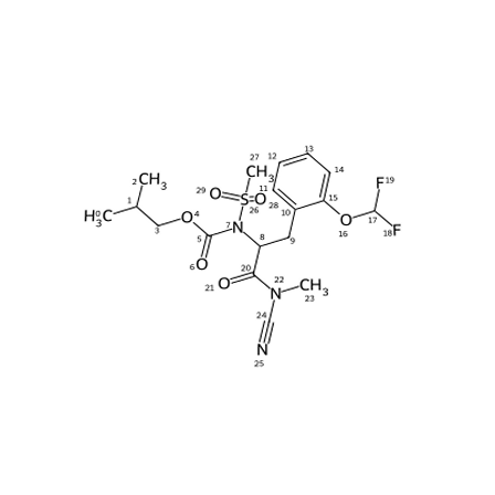 CC(C)COC(=O)N(C(Cc1ccccc1OC(F)F)C(=O)N(C)C#N)S(C)(=O)=O